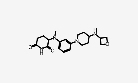 CN(c1cccc(N2CCC(NC3COC3)CC2)c1)C1CCC(=O)NC1=O